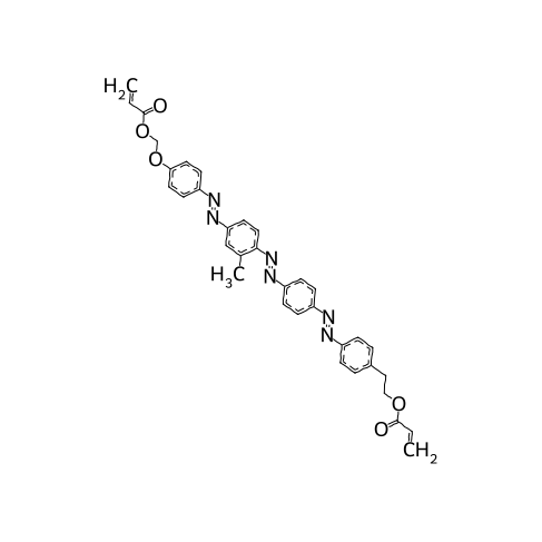 C=CC(=O)OCCc1ccc(N=Nc2ccc(N=Nc3ccc(N=Nc4ccc(OCOC(=O)C=C)cc4)cc3C)cc2)cc1